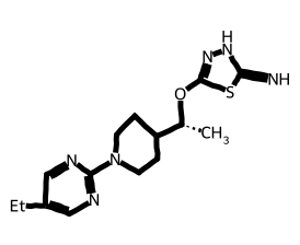 CCc1cnc(N2CCC([C@@H](C)Oc3n[nH]c(=N)s3)CC2)nc1